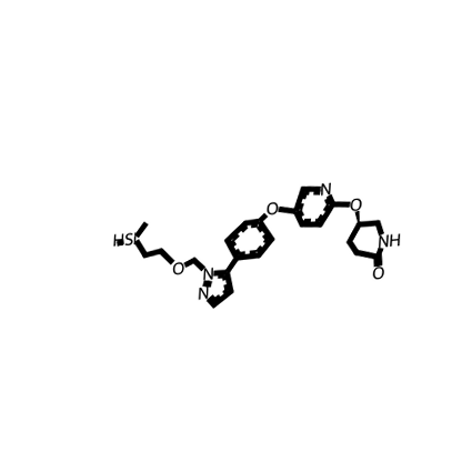 C[SiH](C)CCOCn1nccc1-c1ccc(Oc2ccc(O[C@@H]3CCC(=O)NC3)nc2)cc1